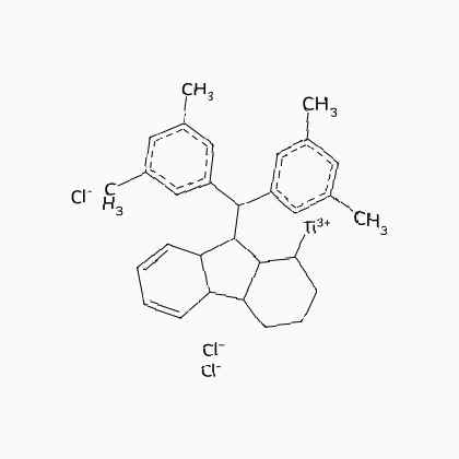 Cc1cc(C)cc(C(c2cc(C)cc(C)c2)C2C3C=CC=CC3C3CCC[CH]([Ti+3])C32)c1.[Cl-].[Cl-].[Cl-]